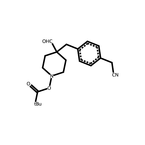 CC(C)(C)C(=O)ON1CCC(C=O)(Cc2ccc(CC#N)cc2)CC1